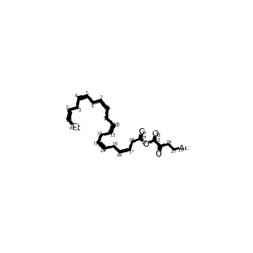 CC/C=C\C/C=C\C/C=C\C/C=C\C/C=C\C/C=C\CC(=O)OC(=O)C(=O)CCC(C)=O